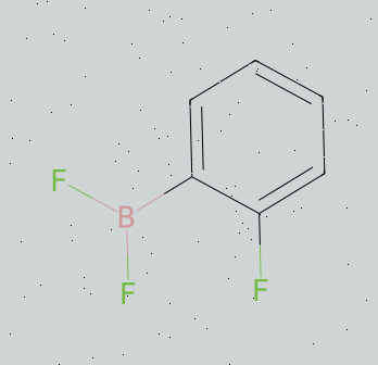 FB(F)c1ccccc1F